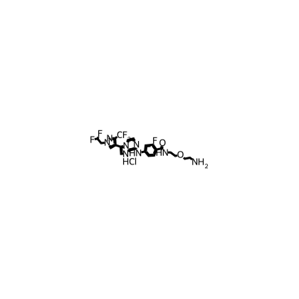 Cl.NCCOCCNC(=O)c1ccc(Nc2nccn3c(-c4cn(CC(F)F)nc4C(F)(F)F)cnc23)cc1F